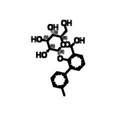 Cc1cccc(-c2cccc(C(=O)O)c2O[C@H]2O[C@H](CO)[C@@H](O)[C@H](O)[C@@H]2O)c1